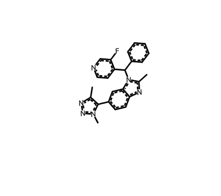 Cc1nnn(C)c1-c1ccc2nc(C)n(C(c3ccccc3)c3ccncc3F)c2c1